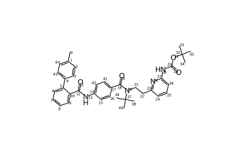 Cc1ccc(-c2ccccc2C(=O)Nc2ccc(C(=O)N(CCc3cccc(NC(=O)OC(C)(C)C)n3)C(C)(C)C)cc2)cc1